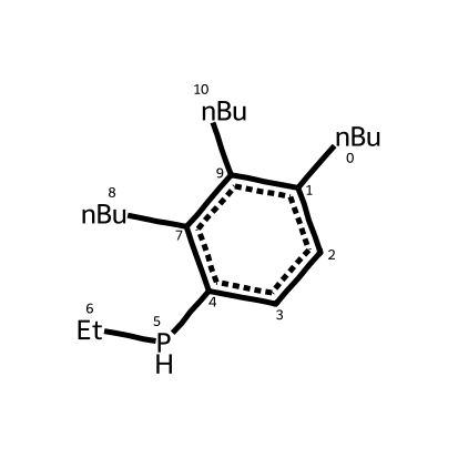 CCCCc1ccc(PCC)c(CCCC)c1CCCC